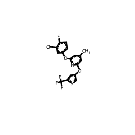 Cc1cc(Oc2csc(C(F)(F)F)c2)nc(Oc2ccc(F)c(Cl)c2)c1